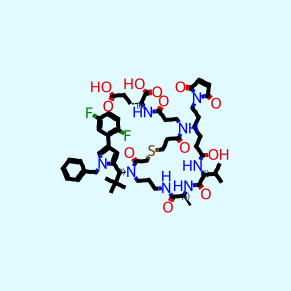 CC(C)[C@H](NC(O)CCCCCN1C(=O)C=CC1=O)C(=O)N[C@@H](C)C(=O)NCCCN(C(=O)CSCCC(=O)NCCC(=O)N[C@H](CCC(=O)O)C(=O)O)[C@@H](c1cc(-c2cc(F)ccc2F)cn1Cc1ccccc1)C(C)(C)C